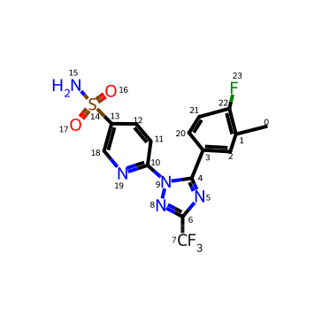 Cc1cc(-c2nc(C(F)(F)F)nn2-c2ccc(S(N)(=O)=O)cn2)ccc1F